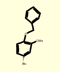 CC[C@@H](C)c1ccc(OCc2ccccc2)c(OC)c1